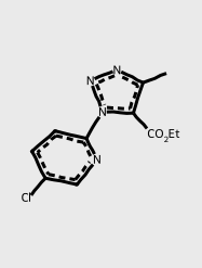 CCOC(=O)c1c(C)nnn1-c1ccc(Cl)cn1